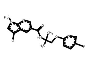 Cn1cc(Cl)c2cc(C(=O)NC(C)(C)COc3ccc(F)cn3)cnc21